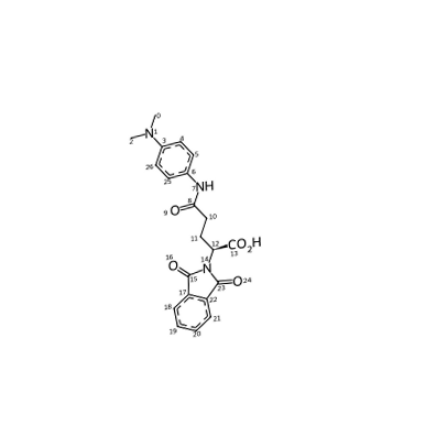 CN(C)c1ccc(NC(=O)CC[C@@H](C(=O)O)N2C(=O)c3ccccc3C2=O)cc1